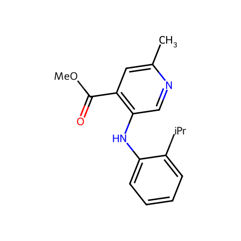 COC(=O)c1cc(C)ncc1Nc1ccccc1C(C)C